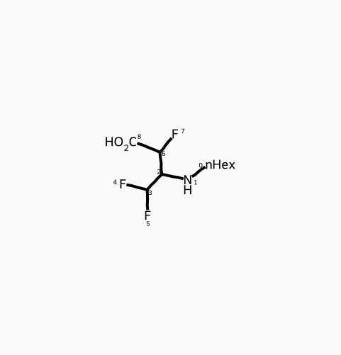 CCCCCCNC(C(F)F)C(F)C(=O)O